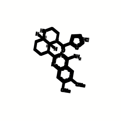 COc1cc2nc(C3CCC[C@@H]4NCCN(C(=O)c5ccco5)[C@H]34)nc(N)c2cc1OC.Cl